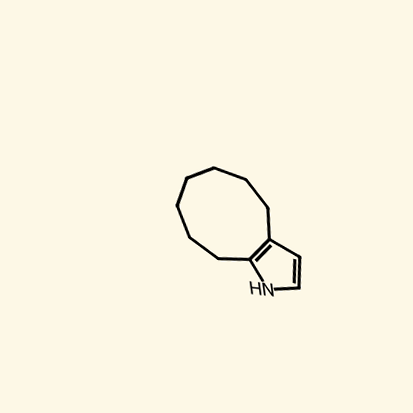 c1cc2c([nH]1)CCCCCCC2